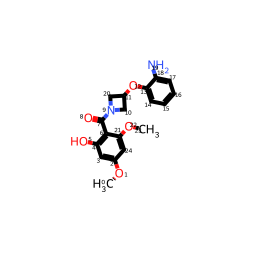 COc1cc(O)c(C(=O)N2CC(Oc3ccccc3N)C2)c(OC)c1